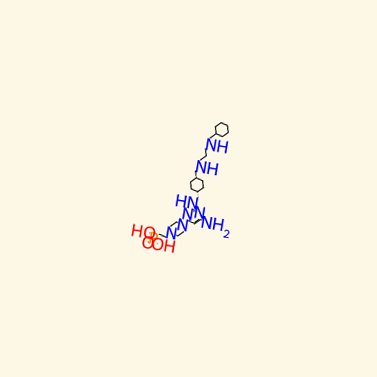 Nc1cc(N2CCN(CCP(=O)(O)O)CC2)nc(NC[C@H]2CC[C@H](CNCCCNCC3CCCCC3)CC2)n1